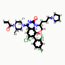 C=CC(=O)N1C[C@H](C)N(c2nc(=O)n3c4c(c(-c5ccc(F)cc5F)c(Cl)cc24)OCC3CCCN2CCCC2)C[C@H]1C